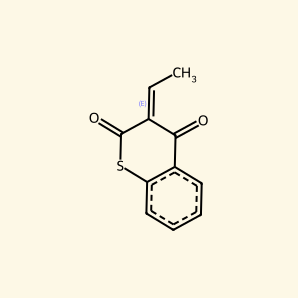 C/C=C1/C(=O)Sc2ccccc2C1=O